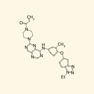 C=CC(=O)N1CCN(c2ncc3ncnc(Nc4ccc(Oc5ccc6c(c5)nnn6CC)c(C)c4)c3n2)CC1